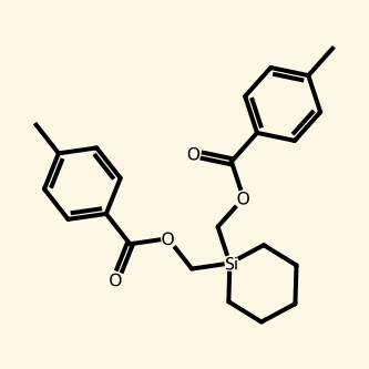 Cc1ccc(C(=O)OC[Si]2(COC(=O)c3ccc(C)cc3)CCCCC2)cc1